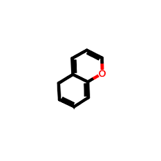 [C]1=CCC2=CC=COC2=C1